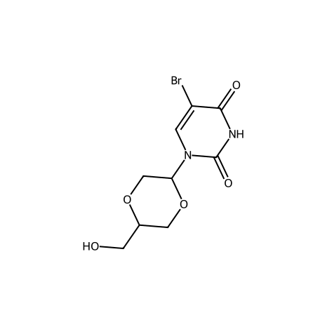 O=c1[nH]c(=O)n(C2COC(CO)CO2)cc1Br